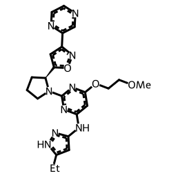 CCc1cc(Nc2cc(OCCOC)nc(N3CCC[C@H]3c3cc(-c4cnccn4)no3)n2)n[nH]1